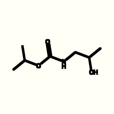 CC(O)CNC(=O)OC(C)C